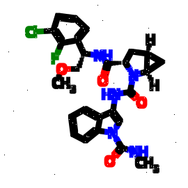 CNC(=O)n1cc(NC(=O)N2[C@@H]3C[C@@H]3C[C@H]2C(=O)N[C@H](COC)c2cccc(Cl)c2F)c2ccccc21